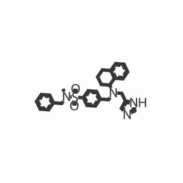 CN(Cc1ccccc1)S(=O)(=O)c1ccc(CN(Cc2cnc[nH]2)C2CCCc3ccccc32)cc1